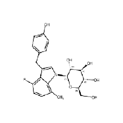 Cc1ccc(F)c2c(Cc3ccc(O)cc3)cn([C@@H]3O[C@H](CO)[C@@H](O)[C@H](O)[C@H]3O)c12